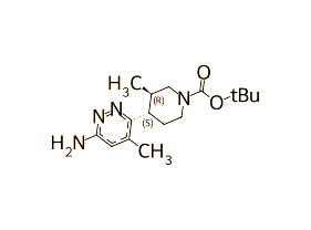 Cc1cc(N)nnc1[C@H]1CCN(C(=O)OC(C)(C)C)C[C@@H]1C